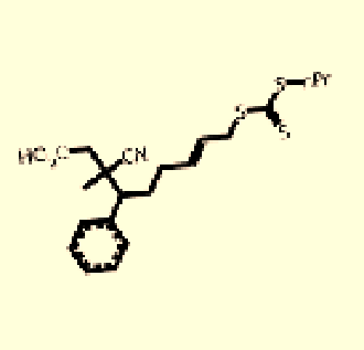 CCCSC(=S)SC/C=C/CCC(c1ccccc1)C(C)(C#N)CC(=O)O